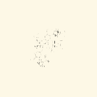 C=CC(F)(F)C1(NC(=O)OC[C@H](c2ccc(Cl)c(-n3ncnc3C(F)F)c2)N2C(=N)N[C@](CC(C)(C)C)(c3ccc(-c4cnn(C5CC5)n4)c(F)c3)C2=O)CC1